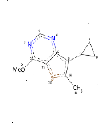 COc1ncnc2c(C3CC3)c(C)sc12